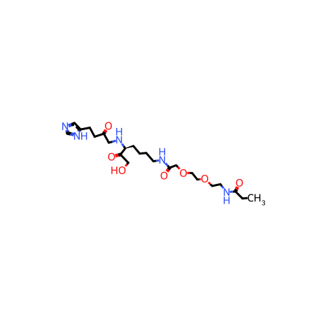 CCC(=O)NCCOCCOCC(=O)NCCCC[C@H](NCC(=O)CCc1cnc[nH]1)C(=O)CO